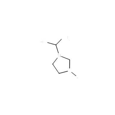 [CH2]C(O)N1CC[S+]([O-])C1